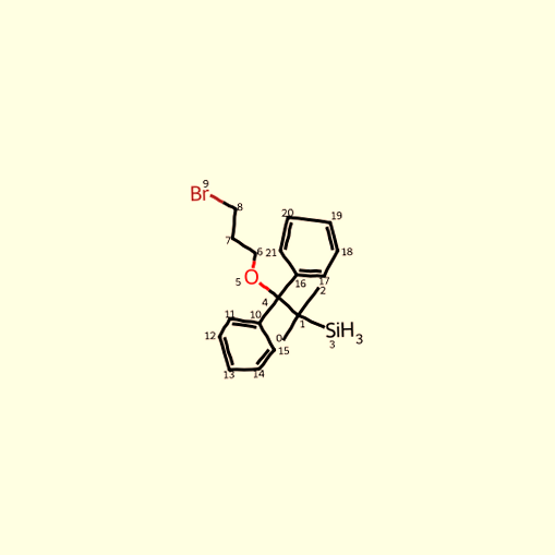 CC(C)([SiH3])C(OCCCBr)(c1ccccc1)c1ccccc1